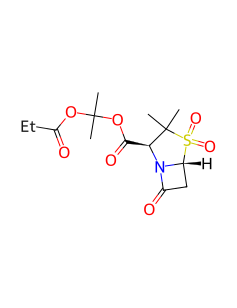 CCC(=O)OC(C)(C)OC(=O)[C@@H]1N2C(=O)C[C@H]2S(=O)(=O)C1(C)C